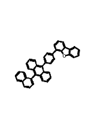 c1ccc2c(-c3c4ccccc4c(-c4ccc(-c5cccc6c5oc5ccccc56)cc4)c4ccccc34)cccc2c1